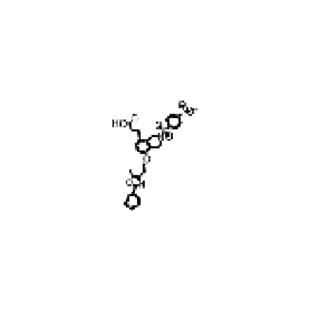 Cc1oc(-c2ccccc2)nc1CCOc1ccc(CCC(=O)O)c2c1CCN(S(=O)(=O)c1ccc([N+](=O)[O-])cc1)C2